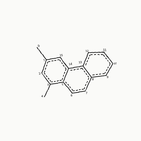 Cc1cc(C)c2ccc3ccccc3c2c1